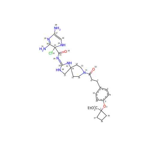 CCOC(=O)C1(Oc2ccc(CCC(=O)N3CCC4(CC3)CNC(=NC(=O)C3(Cl)NC=C(N)N=C3N)N4)cc2)CCC1